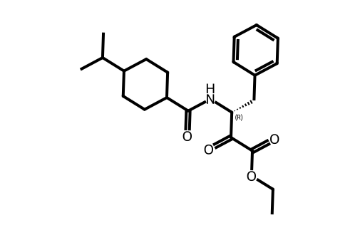 CCOC(=O)C(=O)[C@@H](Cc1ccccc1)NC(=O)C1CCC(C(C)C)CC1